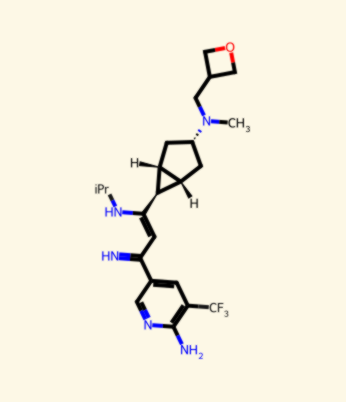 CC(C)N/C(=C\C(=N)c1cnc(N)c(C(F)(F)F)c1)[C@H]1[C@@H]2C[C@H](N(C)CC3COC3)C[C@@H]21